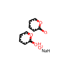 O.O=c1cccco1.O=c1cccco1.[NaH]